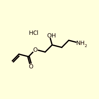 C=CC(=O)OCC(O)CCN.Cl